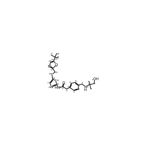 CC(C)(CO)NCc1ccc(CC(=O)Nc2ncc(SCc3ncc(C(C)(C)C)o3)s2)cc1